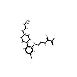 C=C(C)C(=O)OCCOc1cc(C)ccc1C1CCC(OCCO)CC1